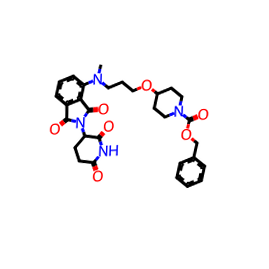 CN(CCCOC1CCN(C(=O)OCc2ccccc2)CC1)c1cccc2c1C(=O)N(C1CCC(=O)NC1=O)C2=O